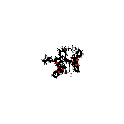 CC1CC(c2cccc(-c3cc(N4CC5CCC(C4)N5c4ccnc(C#CCN5CC(F)(C6CC6)C5)c4)c(N)nn3)c2O)N(CC#Cc2cc(N3C4CCC3CN(c3cc(-c5ccccc5O)nnc3N)C4)ccn2)CCC1(C)O